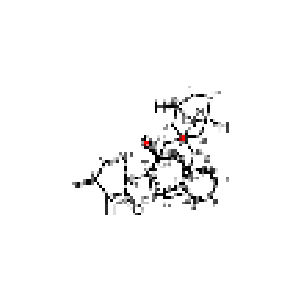 C=C1C=NN(c2nc3ccccc3n([C@H]3C[C@H]4CC[C@@H](C3)N4[C@@H]3C[C@@H]4CCCC[C@@H](C4)C3)c2=O)C(=O)N1